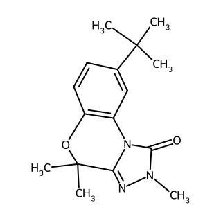 Cn1nc2n(c1=O)-c1cc(C(C)(C)C)ccc1OC2(C)C